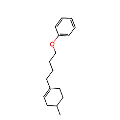 CC1CC=C(CCCCOc2ccccc2)CC1